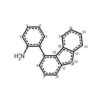 Nc1ccccc1-c1cccc2sc3ccccc3c12